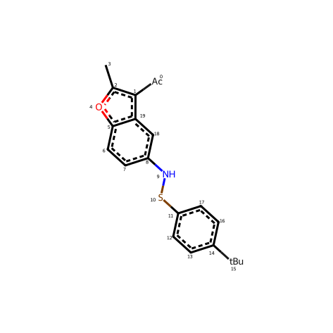 CC(=O)c1c(C)oc2ccc(NSc3ccc(C(C)(C)C)cc3)cc12